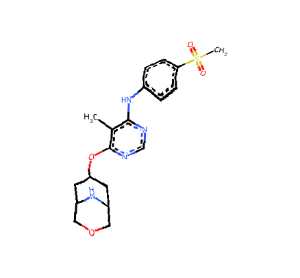 Cc1c(Nc2ccc(S(C)(=O)=O)cc2)ncnc1OC1CC2COCC(C1)N2